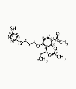 CCCc1c(OCCCSc2nnc(S)s2)ccc(C(C)=O)c1OC(C)=O